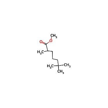 COC(=O)C(C)CCCC(C)(C)C